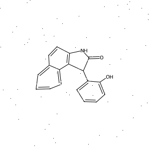 O=C1Nc2ccc3ccccc3c2C1c1ccccc1O